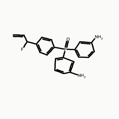 C=CC(F)c1ccc(P(=O)(c2cccc(N)c2)c2cccc(N)c2)cc1